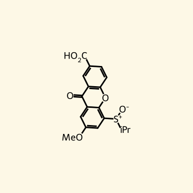 COc1cc([S+]([O-])C(C)C)c2oc3ccc(C(=O)O)cc3c(=O)c2c1